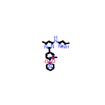 Cc1cc(Nc2cc(C)[nH]n2)nc(-c2ccc(N3CC4CC(C3)N4C(=O)OC(C)(C)C)nc2)n1